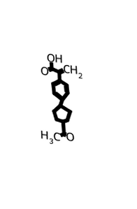 C=C(C(=O)O)c1ccc(C2CCC(C(C)=O)CC2)cc1